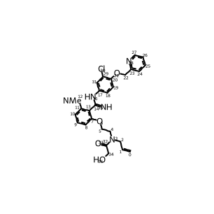 C=CCN(CCOc1cccc(NC)c1C(=N)Nc1ccc(OCc2ccccn2)c(Cl)c1)C(=O)CO